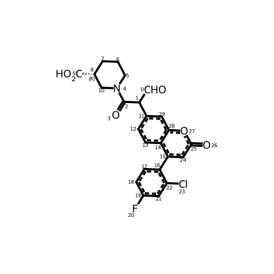 O=CC(C(=O)N1CCC[C@@H](C(=O)O)C1)c1ccc2c(-c3ccc(F)cc3Cl)cc(=O)oc2c1